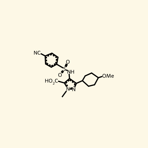 COC1CCC(c2nn(C)c(C(=O)O)c2NS(=O)(=O)c2ccc(C#N)cc2)CC1